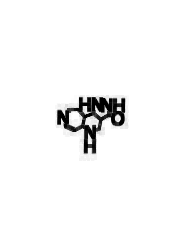 O=C1NNC2C1CNC1C=CN=CCC12